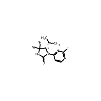 [2H]C1([2H])NC(=O)N(c2ccnc(Cl)n2)[C@H]1C(C)C